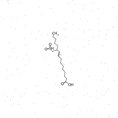 CCCCCC(/C=C/CCCCCCCC(=O)O)C[SH](=O)=O